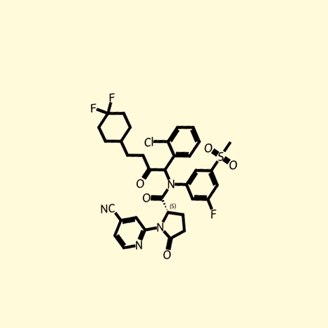 CS(=O)(=O)c1cc(F)cc(N(C(=O)[C@@H]2CCC(=O)N2c2cc(C#N)ccn2)C(C(=O)CCC2CCC(F)(F)CC2)c2ccccc2Cl)c1